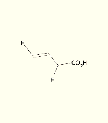 O=C(O)C(F)C=CF